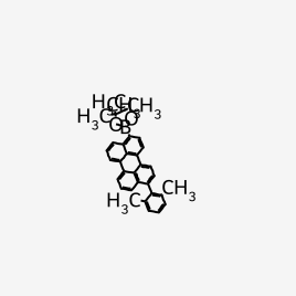 Cc1cccc(C)c1-c1ccc2c3ccc(B4OC(C)(C)C(C)(C)O4)c4cccc(c5cccc1c52)c43